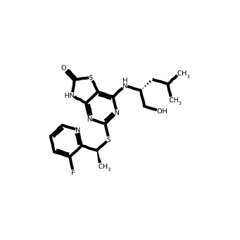 CC(C)C[C@H](CO)Nc1nc(S[C@@H](C)c2ncccc2F)nc2[nH]c(=O)sc12